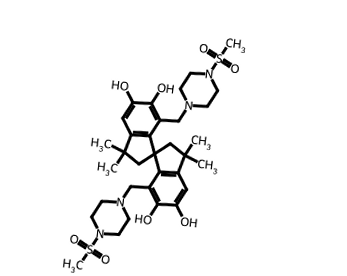 CC1(C)CC2(CC(C)(C)c3cc(O)c(O)c(CN4CCN(S(C)(=O)=O)CC4)c32)c2c1cc(O)c(O)c2CN1CCN(S(C)(=O)=O)CC1